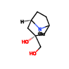 CC(C)(C)N1C2CC[C@@H]1C[C@](O)(CO)C2